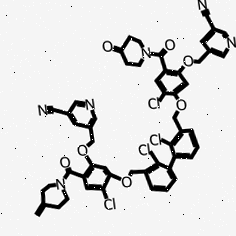 C=C1CCN(C(=O)c2cc(Cl)c(OCc3cccc(-c4cccc(COc5cc(OCc6cncc(C#N)c6)c(C(=O)N6CCC(=O)CC6)cc5Cl)c4Cl)c3Cl)cc2OCc2cncc(C#N)c2)CC1